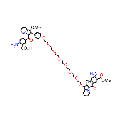 COC(=O)c1cc(C(=O)c2c(C)c(OCCOCCOCCOCCOCCOCCOCCOc3ccc(-c4c(OC)c5ccccn5c4C(=O)c4ccc(N)c(C(=O)O)c4)cc3)c3ccccn23)ccc1N